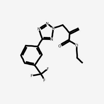 C=C(Cn1nnc(-c2cccc(C(F)(F)F)c2)n1)C(=O)OCC